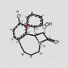 O=C1[C@@H](O)[C@]2(c3ccccc3)c3cc(Cl)ccc3CCCN12